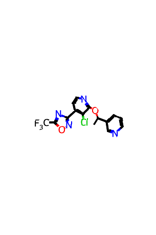 CC(Oc1nccc(-c2noc(C(F)(F)F)n2)c1Cl)c1cccnc1